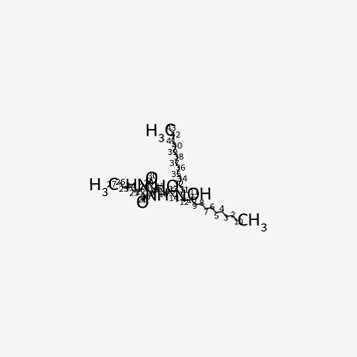 CCCCCCCCCCC(O)CN(CCCCC1NC(=O)C(CCCCC)NC1=O)CC(O)CCCCCCCCCC